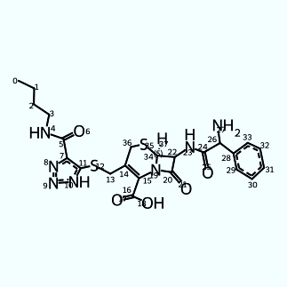 CCCCNC(=O)c1nn[nH]c1SCC1=C(C(=O)O)N2C(=O)C(NC(=O)C(N)c3ccccc3)[C@@H]2SC1